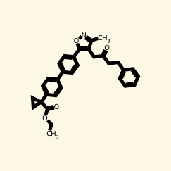 CCOC(=O)C1(c2ccc(-c3ccc(-c4onc(C)c4CC(=O)CCc4ccccc4)cc3)cc2)CC1